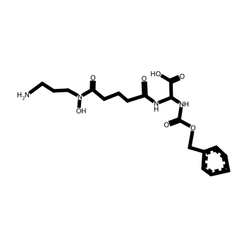 NCCCN(O)C(=O)CCCC(=O)NC(NC(=O)OCc1ccccc1)C(=O)O